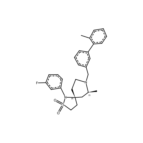 Cc1ccccc1-c1cccc(CN2CC[C@]3(CCS(=O)(=O)N3c3cccc(F)c3)C[C@@H]2C)c1